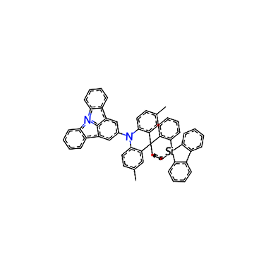 Cc1ccc2c(c1)C1(c3cc(C)ccc3N2c2cc3c4ccccc4n4c5ccccc5c(c2)c34)c2ccccc2[Si]2(c3ccccc3-c3ccccc32)c2ccccc21